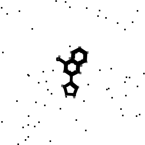 Clc1cc(C2=COCO2)nc2ccccc12